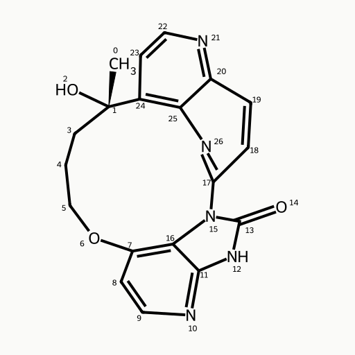 C[C@]1(O)CCCOc2ccnc3[nH]c(=O)n(c23)-c2ccc3nccc1c3n2